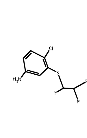 Nc1ccc(Cl)c(SC(F)C(F)F)c1